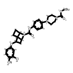 CC(C)(C)OC(=O)N1CCN(c2ccc(OC(=O)N3C4CCC45C(Oc4ccc(C#N)c(Cl)c4)CC35)cc2)CC1